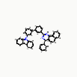 c1ccc(-c2nc(-c3cccc(-c4cccc(-n5c6ccccc6c6ccccc65)c4)c3)nc3c2ccc2ccccc23)cc1